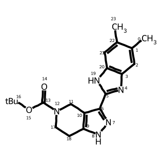 Cc1cc2nc(-c3n[nH]c4c3CN(C(=O)OC(C)(C)C)CC4)[nH]c2cc1C